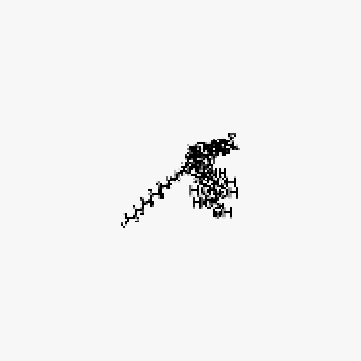 CCCCCCCCCCCCCCCC[Si](C)(O[Si](C)(C)C)O[Si](C)(C)O[Si](C)(CCCNC(=O)C(O)C(O)C(O)C(O)CO)O[Si](C)(C)O[Si](C)(C)C